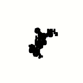 CC(C)Cc1cccc2c1nc(Cn1cccc(NC(=O)[C@H](CC/C=C/C(N)=O)NC(=O)OCc3ccccc3)c1=O)n2C(=O)OC(C)(C)C